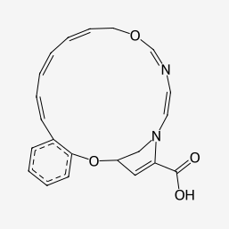 O=C(O)C1=CC2CN1C=CN=COCC=CC=CC=Cc1ccccc1O2